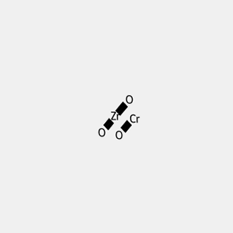 [O]=[Cr].[O]=[Zr]=[O]